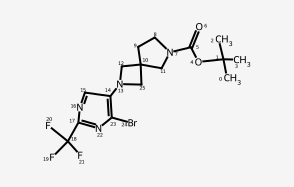 CC(C)(C)OC(=O)N1CCC2(C1)CN(c1cnc(C(F)(F)F)nc1Br)C2